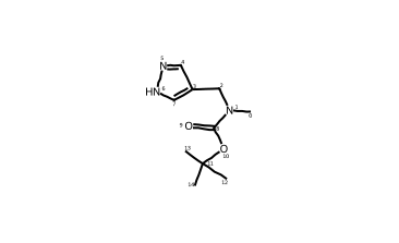 CN(Cc1cn[nH]c1)C(=O)OC(C)(C)C